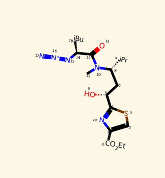 CCOC(=O)c1csc([C@H](O)C[C@@H](C(C)C)N(C)C(=O)[C@@H](N=[N+]=[N-])C(C)CC)n1